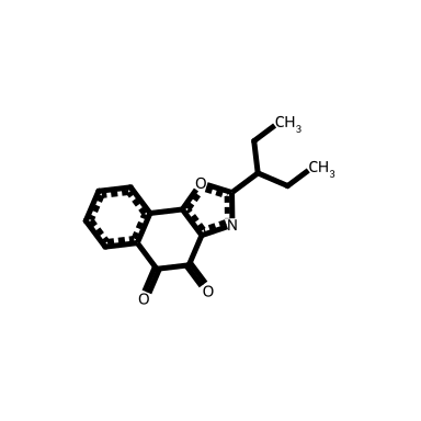 CCC(CC)c1nc2c(o1)-c1ccccc1C(=O)C2=O